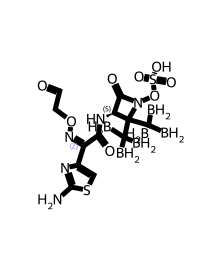 BC(B)(B)C1(C(B)(B)B)[C@H](NC(=O)/C(=N\OCC=O)c2csc(N)n2)C(=O)N1OS(=O)(=O)O